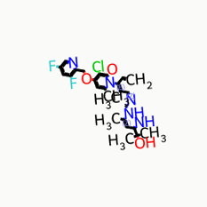 C=C/C(=C(C)\C=N/CN/C(C)=C\C(=N)C(C)(C)O)n1c(C)cc(OCc2ncc(F)cc2F)c(Cl)c1=O